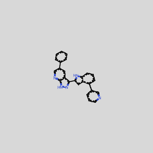 c1ccc(-c2cnc3[nH]nc(-c4cc5c(-c6cccnc6)cccc5[nH]4)c3c2)cc1